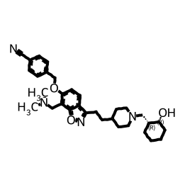 CN(C)Cc1c(OCc2ccc(C#N)cc2)ccc2c(CCC3CCN(C[C@H]4CCCC[C@H]4O)CC3)noc12